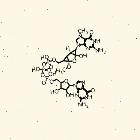 CO[C@]12O[C@@]3(O)C(N4CN(C)c5c4nc(N)[nH]c5=O)[C@@H]3C1C2COP(=O)(O)OP(=O)(O)OP(=O)(O)OC[C@H]1O[C@@H](n2cnc3c(=O)[nH]c(N)nc32)C(O)[C@H]1O